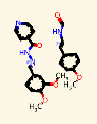 COc1ccc(/C=C/NC=O)cc1.COc1ccc(/C=N/NC(=O)c2ccncc2)cc1OC